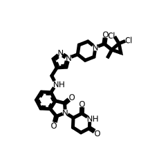 CC1(C(=O)N2CCC(n3cc(CNc4cccc5c4C(=O)N(C4CCC(=O)NC4=O)C5=O)cn3)CC2)CC1(Cl)Cl